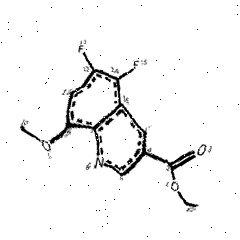 COC(=O)c1cnc2c(OC)cc(F)c(F)c2c1